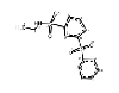 CCNS(=O)(=O)c1cccc(S(=O)(=O)c2ccccc2)c1